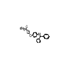 CC(C)(C)OC(=O)N1CC(Oc2ccc(N=C(c3ccccc3)c3ccccc3)cc2)C1